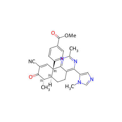 COC(=O)c1ccc([C@]23C=C(C#N)C(=O)[C@@H](C)[C@@H]2CCc2c(-c4cncn4C)nc(C)nc23)cc1